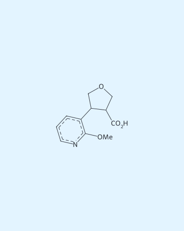 COc1ncccc1C1COCC1C(=O)O